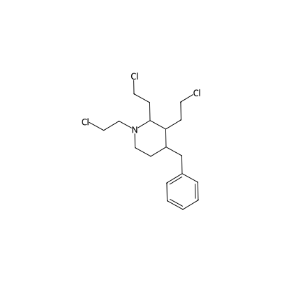 ClCCC1C(Cc2ccccc2)CCN(CCCl)C1CCCl